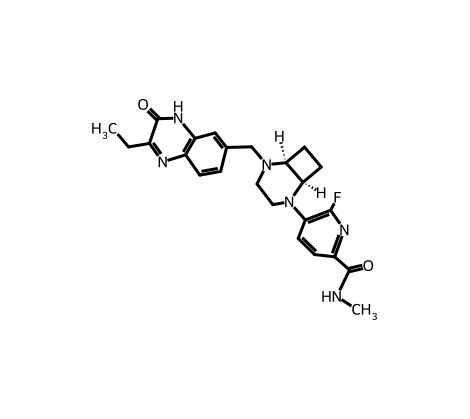 CCc1nc2ccc(CN3CCN(c4ccc(C(=O)NC)nc4F)[C@@H]4CC[C@@H]43)cc2[nH]c1=O